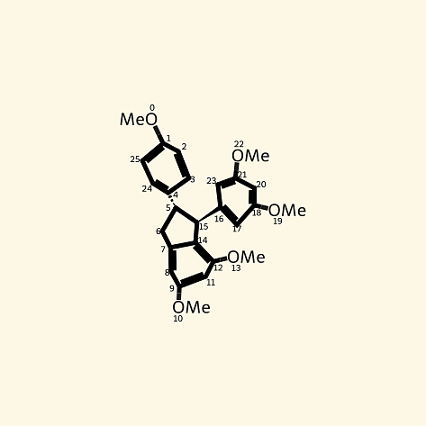 COc1ccc([C@H]2Cc3cc(OC)cc(OC)c3[C@@H]2c2cc(OC)cc(OC)c2)cc1